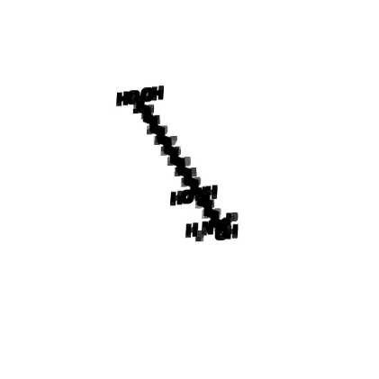 NC(CCCCNC(O)CCCCCCCCCCCCCCCCC(O)O)C(O)I